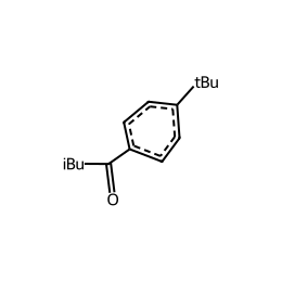 CCC(C)C(=O)c1ccc(C(C)(C)C)cc1